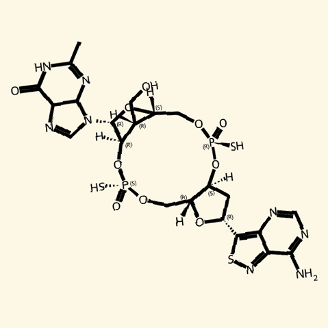 CC1=NC2C(N=CN2[C@@H]2O[C@@H]3CO[P@@](=O)(S)O[C@H]4C[C@H](c5snc6c(N)ncnc56)O[C@@H]4CO[P@](=O)(S)O[C@@H]2[C@@H]3CO)C(=O)N1